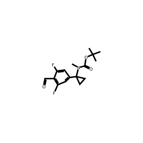 CN(C(=O)OC(C)(C)C)C1(c2cc(F)c(C=O)c(F)c2)CC1